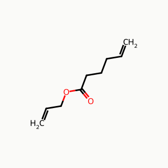 C=CCCCC(=O)OCC=C